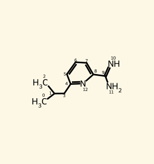 CC(C)Cc1cccc(C(=N)N)n1